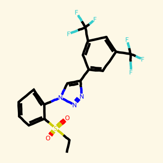 CCS(=O)(=O)c1ccccc1-n1cc(-c2cc(C(F)(F)F)cc(C(F)(F)F)c2)nn1